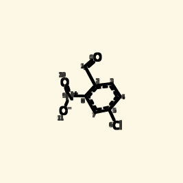 O=[C]c1ccc(Cl)cc1[N+](=O)[O-]